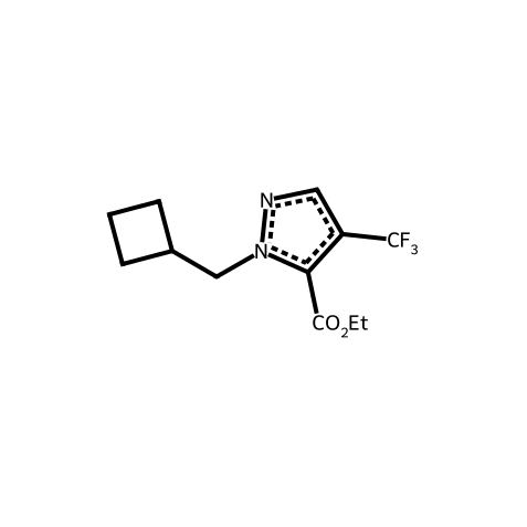 CCOC(=O)c1c(C(F)(F)F)cnn1CC1CCC1